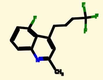 Cc1cc(CCCC(F)(F)F)c2c(F)cccc2n1